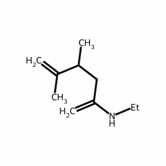 C=C(CC(C)C(=C)C)NCC